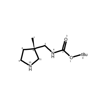 CC(C)(C)OC(=O)NC[C@@]1(C)CCNC1